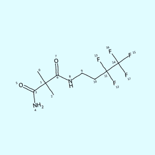 CC(C)(C(N)=O)C(=O)NCCC(F)(F)C(F)(F)F